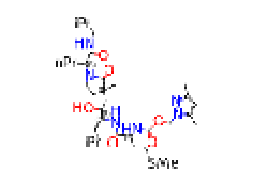 CCC[C@@H](C(=O)NCC(C)C)N1CC[C@@](C)(C[C@H](O)[C@H](CC(C)C)NC(=O)[C@H](CCSC)NC(=O)OCn2nc(C)cc2C)C1=O